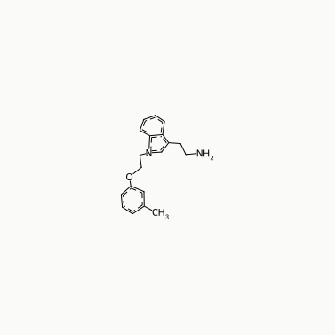 Cc1cccc(OCCn2cc(CCN)c3ccccc32)c1